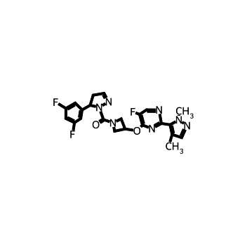 Cc1cnn(C)c1-c1ncc(F)c(OC2CN(C(=O)N3N=CCC3c3cc(F)cc(F)c3)C2)n1